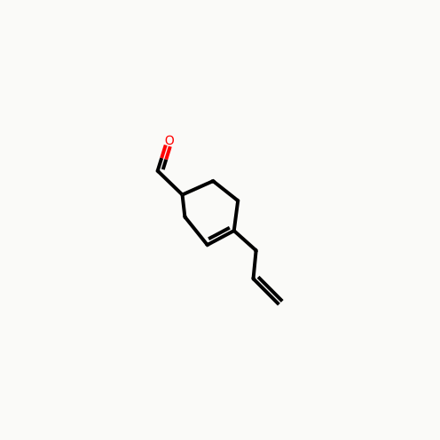 C=CCC1=CCC(C=O)CC1